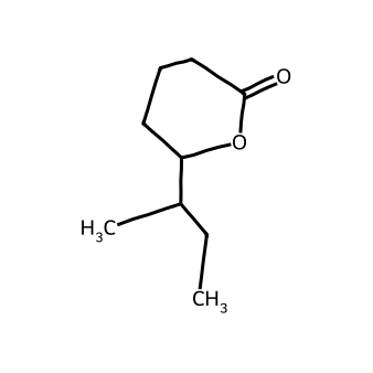 CCC(C)C1CCCC(=O)O1